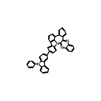 c1ccc(-n2c3ccccc3c3cc(-c4ccc5c(c4)c4cccc6c4n5-c4nc5ccccc5nc4-c4ccccc4-6)ccc32)cc1